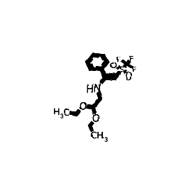 CCOC(CN/C(=C/S(=O)(=O)C(F)(F)F)c1ccccc1)OCC